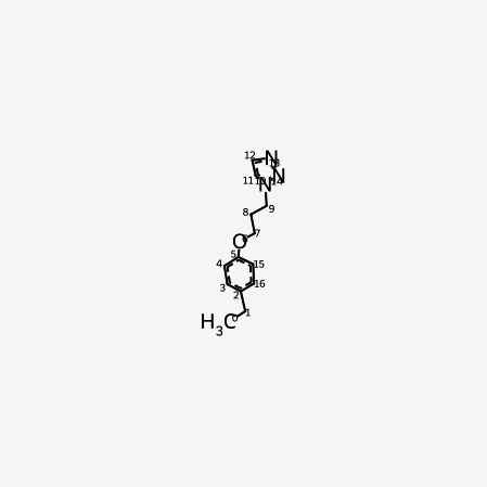 CCc1ccc(OCCCn2ccnn2)cc1